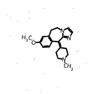 COc1ccc2c(c1)CCn1ccnc1C2=C1CCN(C)CC1